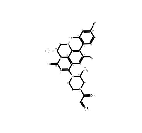 C=CC(=O)N1CCN(c2nc(=O)n3c4c(c(-c5ccc(F)cc5F)c(Cl)cc24)SC[C@H]3C)C(C)C1